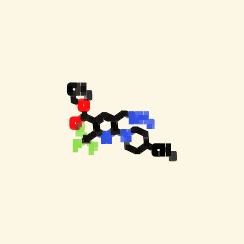 CCOC(=O)c1cc(CN)c(N2CCC(C)CC2)nc1C(F)(F)F